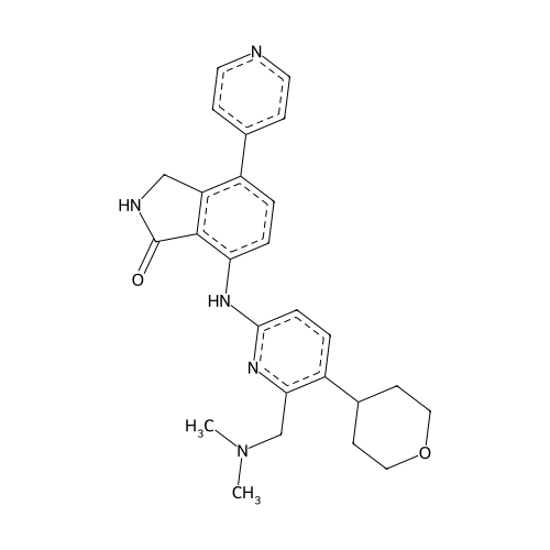 CN(C)Cc1nc(Nc2ccc(-c3ccncc3)c3c2C(=O)NC3)ccc1C1CCOCC1